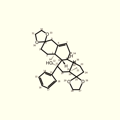 C[C@]12CCC3(CC1=CC[C@@H]1[C@@H]2[C@](O)(c2ccccc2)C[C@@]2(C)[C@H]1CCC21OCCO1)OCCO3